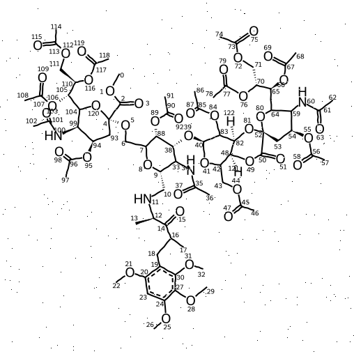 COC(=O)[C@@]1(OCC2O[C@@H](CN[C@H](C)C(=O)C(C)Cc3c(OC)cc(OC)c(OC)c3OC)C(NC(C)=O)[C@@H](O[C@@H]3OC(COC(C)=O)[C@@H]4OC(=O)[C@]5(C[C@H](OC(C)=O)C(NC(C)=O)C([C@H](OC(C)=O)[C@@H](COC(C)=O)OC(C)=O)O5)O[C@@H]4C3OC(C)=O)[C@H]2OC(C)=O)C[C@@H](OC(C)=O)[C@@H](NC(C)=O)C([C@H](OC(C)=O)[C@@H](COC(C)=O)OC(C)=O)O1